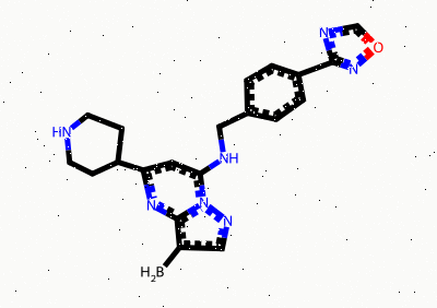 Bc1cnn2c(NCc3ccc(-c4ncon4)cc3)cc(C3CCNCC3)nc12